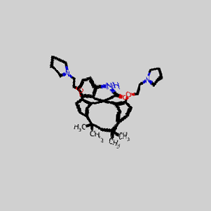 CC1(C)CC(C)(C)c2ccc(OCCN3CCCC3)c(c2)C2(C(=O)Nc3ccccc32)c2cc1ccc2OCCN1CCCC1